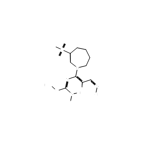 C\N=C/C(C)=C(/N=C(/OC)N(C)C)N1CCCCC(S(C)(=O)=O)C1